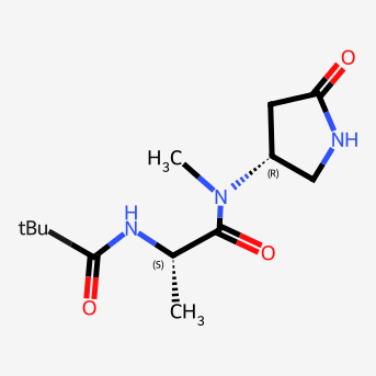 C[C@H](NC(=O)C(C)(C)C)C(=O)N(C)[C@H]1CNC(=O)C1